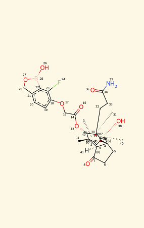 C[C@@H]1CC[C@@]23CCC(=O)[C@H]2[C@]1(C)[C@H](OC(=O)COc1ccc2c(c1F)B(O)OC2)C[C@@](C)(CCC(N)=O)[C@@H](O)[C@@H]3C